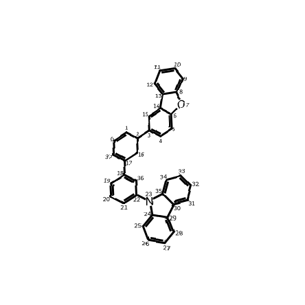 C1=CC(c2ccc3oc4ccccc4c3c2)CC(c2cccc(-n3c4ccccc4c4ccccc43)c2)=C1